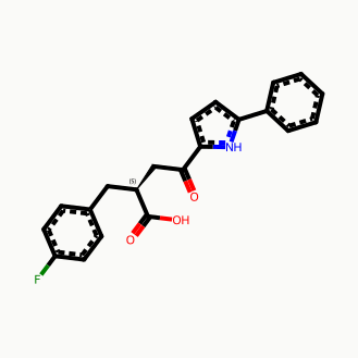 O=C(C[C@H](Cc1ccc(F)cc1)C(=O)O)c1ccc(-c2ccccc2)[nH]1